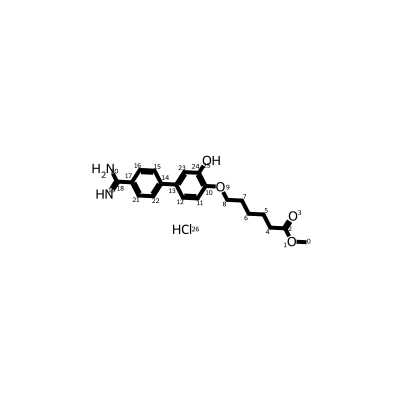 COC(=O)CCCCCOc1ccc(-c2ccc(C(=N)N)cc2)cc1O.Cl